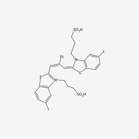 CCC(=Cc1sc2ccc(I)cc2[n+]1CCCS(=O)(=O)O)C=C1Sc2ccc(I)cc2N1CCCS(=O)(=O)O